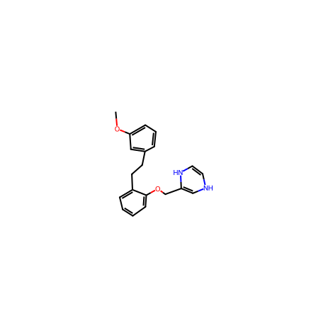 COc1cccc(CCc2ccccc2OCC2=CNC=CN2)c1